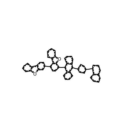 c1ccc2c(-c3ccc(-c4c5ccccc5c(-c5ccc(-c6ccc7c(c6)oc6ccccc67)c6c5oc5ccccc56)c5ccccc45)cc3)cccc2c1